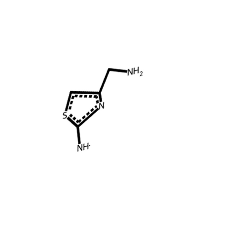 [NH]c1nc(CN)cs1